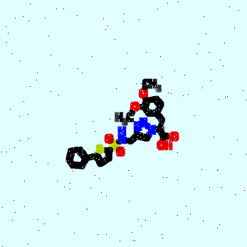 COc1ccc(C[C@@H](C(=O)O)n2cc(CNS(=O)(=O)c3ccc(-c4ccccc4)s3)nn2)cc1OC